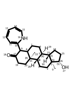 C[C@]12CC[C@H]3[C@@H](CCC4C(C5=CC=CC=CN5)C(=O)CC[C@@]43C)[C@@H]1CC[C@@H]2O